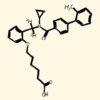 [2H]C([2H])(c1ccccc1OCCCCCC(=O)O)N(C(=O)c1ccc(-c2ccccc2C)cc1)C1CC1